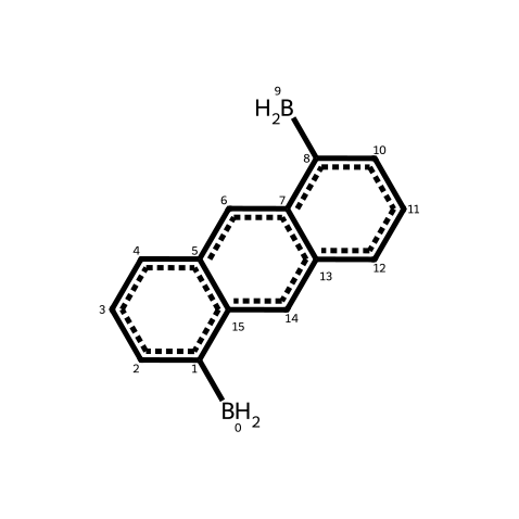 Bc1cccc2cc3c(B)cccc3cc12